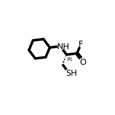 O=C(F)[C@H](CS)NC1CCCCC1